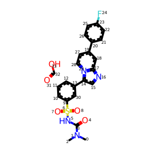 CN(C)C(=O)NS(=O)(=O)c1cccc(-c2cnc3cc(-c4ccc(F)cc4)ccn23)c1.O=CO